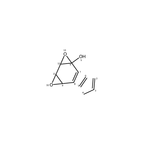 C=C.C=CC.OC12C=CC3OC3C1O2